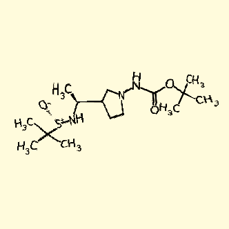 C[C@H](N[S@@+]([O-])C(C)(C)C)C1CCN(NC(=O)OC(C)(C)C)C1